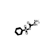 NNC(=O)[N]S(=O)(=O)c1ccccc1